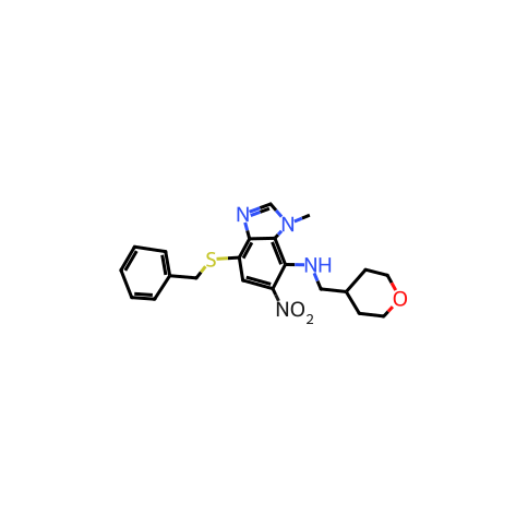 Cn1cnc2c(SCc3ccccc3)cc([N+](=O)[O-])c(NCC3CCOCC3)c21